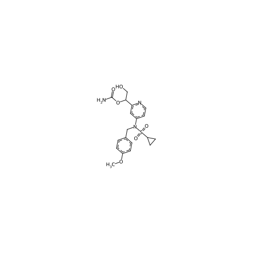 COc1ccc(CN(c2ccnc(C(CO)OC(N)=O)c2)S(=O)(=O)C2CC2)cc1